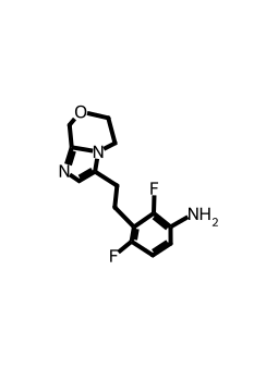 Nc1ccc(F)c(CCc2cnc3n2CCOC3)c1F